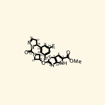 COC(=O)c1cc2sc(OC3CN(C(=O)N4N=CCC4c4cc(F)cc(F)c4)C3)nc2[nH]1